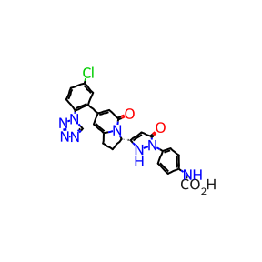 O=C(O)Nc1ccc(-n2[nH]c([C@@H]3CCc4cc(-c5cc(Cl)ccc5-n5cnnn5)cc(=O)n43)cc2=O)cc1